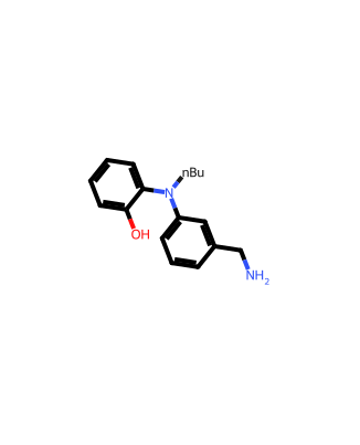 CCCCN(c1cccc(CN)c1)c1ccccc1O